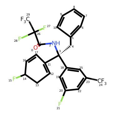 O=C(N[C@](Cc1ccccc1)(C1=CCC(F)C=C1)c1cc(F)cc(C(F)(F)F)c1)C(F)(F)C(F)(F)F